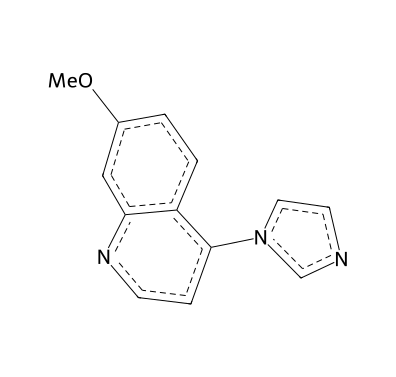 COc1ccc2c(-n3ccnc3)ccnc2c1